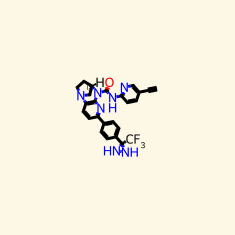 C#Cc1ccc(NC(=O)N2c3nc(-c4ccc(C5(C(F)(F)F)NN5)cc4)ccc3N3CC[C@H]2C3)nc1